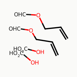 C=CCOC=O.C=CCOC=O.O=C(O)O.O=C(O)O